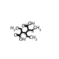 CCC(C(=O)O)C(CC)C(CC)C(=O)O